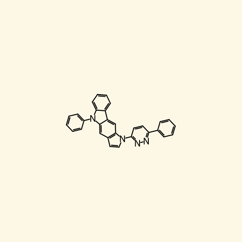 c1ccc(-c2ccc(-n3ccc4cc5c(cc43)c3ccccc3n5-c3ccccc3)nn2)cc1